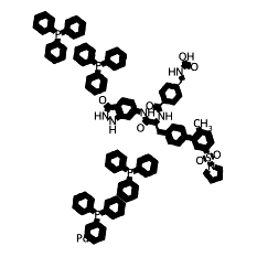 Cc1ccc(S(=O)(=O)N2CCCC2)cc1-c1ccc(C[C@H](NC(=O)[C@H]2CC[C@H](CNC(=O)O)CC2)C(=O)Nc2ccc3c(=O)[nH][nH]c3c2)cc1.[Pd].c1ccc(P(c2ccccc2)c2ccccc2)cc1.c1ccc(P(c2ccccc2)c2ccccc2)cc1.c1ccc(P(c2ccccc2)c2ccccc2)cc1.c1ccc(P(c2ccccc2)c2ccccc2)cc1